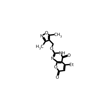 CCc1cc(=O)oc2nc(OCc3c(C)noc3C)[nH]c(=O)c12